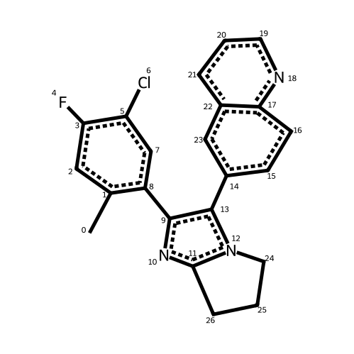 Cc1cc(F)c(Cl)cc1-c1nc2n(c1-c1ccc3ncccc3c1)CCC2